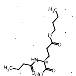 CCCCOC(=O)CC[C@H](NC(=O)CCC)C(=O)O